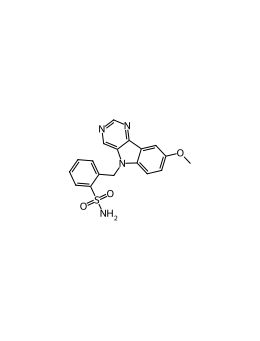 COc1ccc2c(c1)c1ncncc1n2Cc1ccccc1S(N)(=O)=O